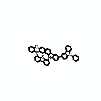 c1ccc(-n2c3ccccc3c3cc(-c4ccc5c(c4)c4ccccc4n5-c4cccc5c4sc4c(B6c7ccccc7Oc7ccccc76)cccc45)ccc32)cc1